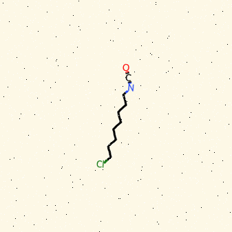 O=C=NCCCCCCCCCl